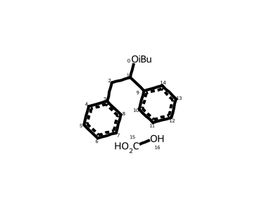 CC(C)COC(Cc1ccccc1)c1ccccc1.O=C(O)O